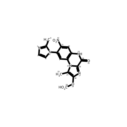 Cc1nccn1-c1cc2c(cc1[N+](=O)[O-])[nH]c(=O)c1nc(OC(=O)O)c(C)n12